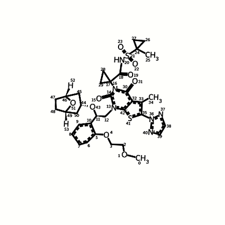 COCCOc1ccccc1[C@H](Cn1c(=O)n(C2(C(=O)NS(=O)(=O)C3(C)CC3)CC2)c(=O)c2c(C)c(-n3nccn3)sc21)O[C@H]1C[C@H]2CC[C@@H](C1)O2